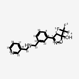 OC1(C(F)(F)F)CC(c2cccc(CNCc3cccnc3)c2)=NO1